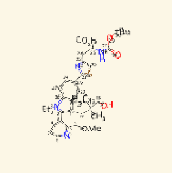 CCn1c(-c2cccnc2COC)c(CC(C)(C)CO)c2cc(-c3nc(CC(NC(=O)OC(C)(C)C)C(=O)O)cs3)ccc21